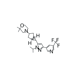 CC(C)n1nc(-c2cncc(C(F)(F)F)c2)cc1C1[C@H]2CC(N3CCOC(C)(C)C3)C[C@@H]12